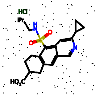 CC(C)CNS(=O)(=O)c1c2c(cc3cnc(C4CC4)cc13)CC(C(=O)O)CC2.Cl